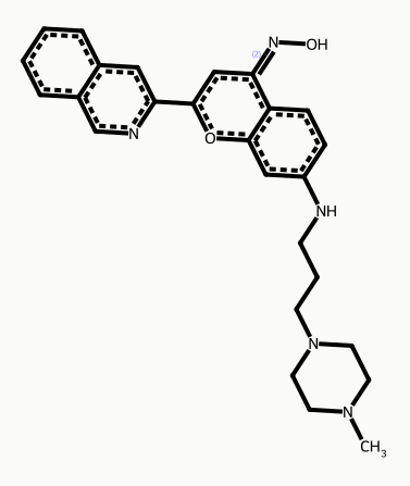 CN1CCN(CCCNc2ccc3/c(=N\O)cc(-c4cc5ccccc5cn4)oc3c2)CC1